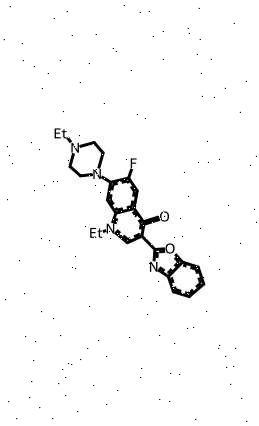 CCN1CCN(c2cc3c(cc2F)c(=O)c(-c2nc4ccccc4o2)cn3CC)CC1